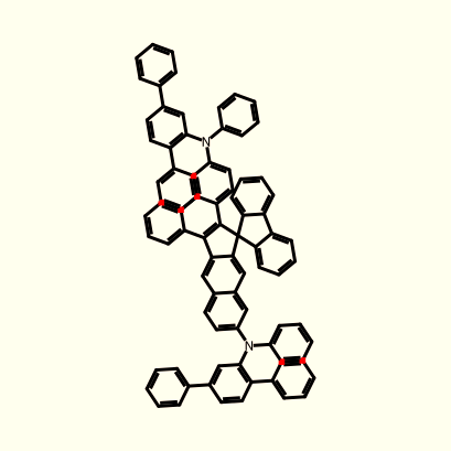 c1ccc(-c2ccc(-c3ccccc3)c(N(c3ccccc3)c3ccc4cc5c(cc4c3)C3(c4ccccc4-c4ccccc43)c3c-5c4ccccc4c4cc(N(c5ccccc5)c5cc(-c6ccccc6)ccc5-c5ccccc5)ccc34)c2)cc1